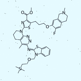 COC(=O)c1nc(N2CCCc3c2nnc(/N=c2\sc4ccccc4n2COCC[Si](C)(C)C)c3C)sc1CCCOc1cc2c(cc1F)CCN(C)C2